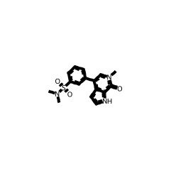 CN(C)S(=O)(=O)c1cccc(-c2cn(C)c(=O)c3[nH]ccc23)c1